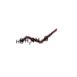 CCCCCCCCCCCCCCCCCCOC(=O)CCCCCCC/C=C\CCCCCCCCNC(CN)CCCCCCCC/C=C\CCCCCCCC(=O)O